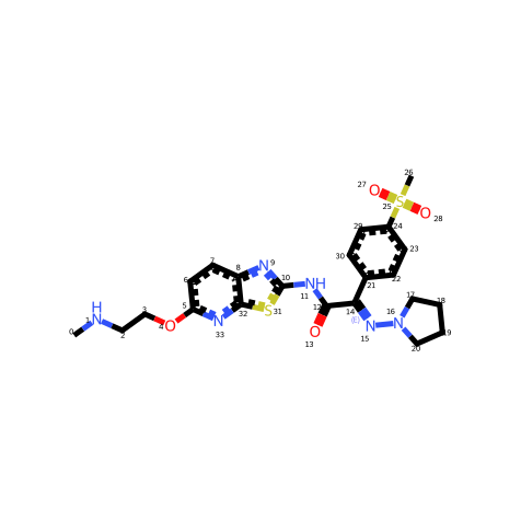 CNCCOc1ccc2nc(NC(=O)/C(=N/N3CCCC3)c3ccc(S(C)(=O)=O)cc3)sc2n1